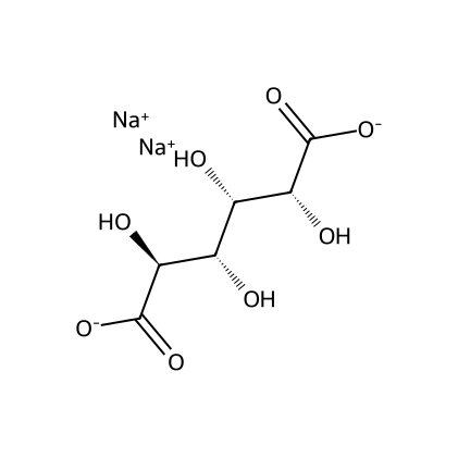 O=C([O-])[C@@H](O)[C@@H](O)[C@H](O)[C@@H](O)C(=O)[O-].[Na+].[Na+]